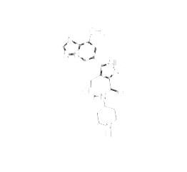 Cc1cc(-c2[nH]nc(C(=O)NC3CCNCC3)c2CC(F)(F)F)cn2ncnc12